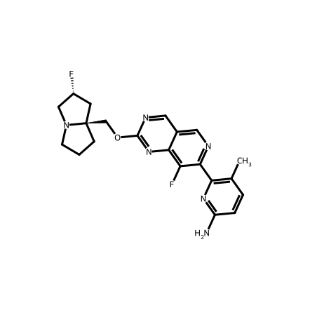 Cc1ccc(N)nc1-c1ncc2cnc(OC[C@@]34CCCN3C[C@H](F)C4)nc2c1F